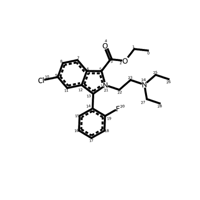 CCOC(=O)c1c2ccc(Cl)cc2c(-c2ccccc2F)n1CCN(CC)CC